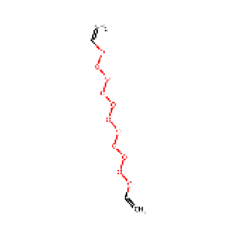 C=COOOOOOOOOOOC=C